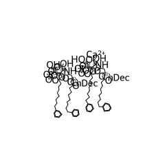 CCCCCCCCCCC[C@@H](CC(=O)N[C@H]1C(O)O[C@H](CO)[C@@H](OS(=O)(=O)[O-])[C@@H]1OC(=O)CCCCCCCCc1ccccc1)OC(=O)CCCCCCCCc1ccccc1.CCCCCCCCCCC[C@@H](CC(=O)N[C@H]1C(O)O[C@H](CO)[C@@H](OS(=O)(=O)[O-])[C@@H]1OC(=O)CCCCCCCCc1ccccc1)OC(=O)CCCCCCCCc1ccccc1.[Ca+2]